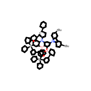 CC(C)(C)c1ccc2c(c1)c1cc(C(C)(C)C)ccc1n2-c1cc2c3c(c1)N(c1ccc(-c4ccccc4)cc1-c1ccccc1)c1ccc([Si](c4ccccc4)(c4ccccc4)c4cccc(-c5ccccc5)c4)cc1B3c1ccc([Si](c3ccccc3)(c3ccccc3)c3cccc(-c4ccccc4)c3)cc1O2